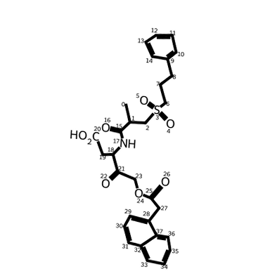 CC(CS(=O)(=O)CCCc1ccccc1)C(=O)NC(CC(=O)O)C(=O)COC(=O)Cc1cccc2ccccc12